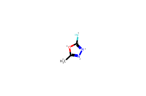 Cc1nnc([18F])o1